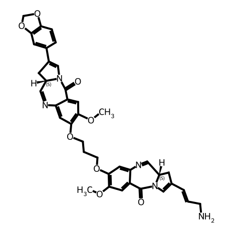 COc1cc2c(cc1OCCCOc1cc3c(cc1OC)C(=O)N1C=C(c4ccc5c(c4)OCO5)C[C@H]1C=N3)N=C[C@@H]1CC(C=CCN)=CN1C2=O